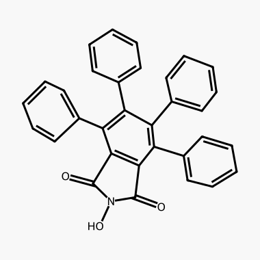 O=C1c2c(c(-c3ccccc3)c(-c3ccccc3)c(-c3ccccc3)c2-c2ccccc2)C(=O)N1O